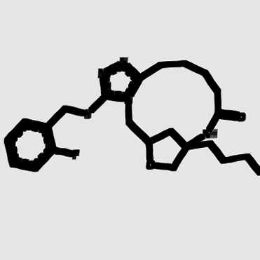 CCCCC12COC(Cn3c(nnc3SCc3ccccc3F)CCCCC(=O)N1)C2